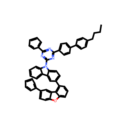 CCCCc1ccc(-c2ccc(-c3nc(-c4ccccc4)nc(-n4c5ccccc5c5cc(-c6cccc7oc8ccc(-c9ccccc9)cc8c67)ccc54)n3)cc2)cc1